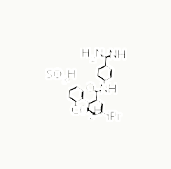 CC(C)c1ccc(-c2ccccc2C(=O)O)c(C(=O)Nc2ccc(C(=N)N)cc2)c1.CS(=O)(=O)O